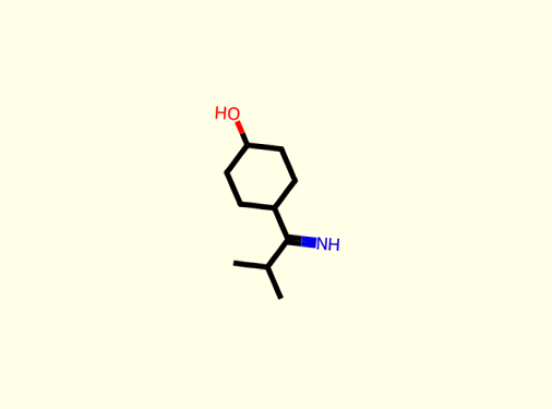 CC(C)C(=N)C1CCC(O)CC1